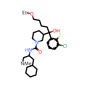 CCOCCCCC(O)(c1cccc(Cl)c1F)C1CCCN(C(=O)NC(CNC)CC2CCCCC2)C1